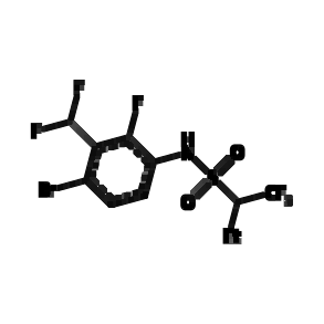 CCC(C(F)(F)F)S(=O)(=O)Nc1ccc(Br)c(C(F)F)c1F